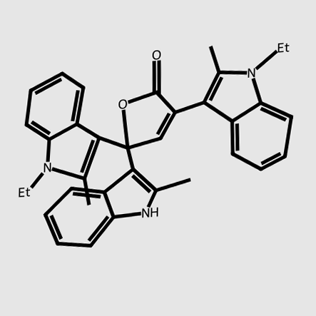 CCn1c(C)c(C2=CC(c3c(C)[nH]c4ccccc34)(c3c(C)n(CC)c4ccccc34)OC2=O)c2ccccc21